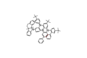 CC(C)(C)c1ccc(N2c3cc(N4c5ccccc5C5(C)CCc6ccccc6C45C)ccc3B3c4cc(-c5ccccc5)ccc4N(c4ccc(C(C)(C)C)cc4-c4ccccc4)c4cc(C(C)(C)C)cc2c43)cc1